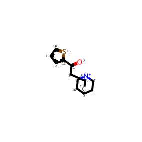 O=C(CC1CC2CC[N+]1CC2)c1cccs1